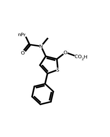 CCCC(=O)N(C)c1cc(-c2ccccc2)sc1OC(=O)O